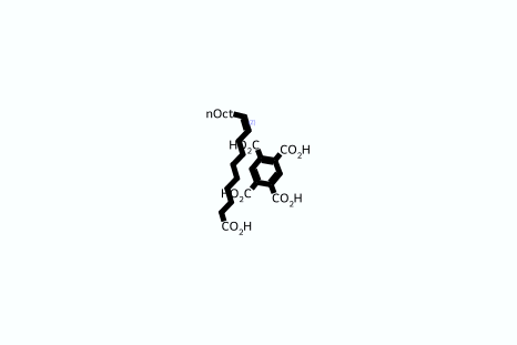 CCCCCCCC/C=C\CCCCCCCC(=O)O.O=C(O)c1cc(C(=O)O)c(C(=O)O)cc1C(=O)O